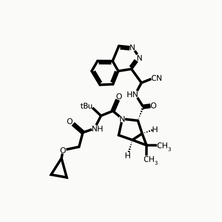 CC(C)(C)C(NC(=O)COC1CC1)C(=O)N1C[C@H]2[C@@H]([C@H]1C(=O)NC(C#N)c1nncc3ccccc13)C2(C)C